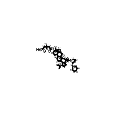 C=C(C)[C@@H]1CC[C@]2(CC(=O)N3CCC[C@@H]3CN3CCCCC3)CC[C@]3(C)[C@H](CC[C@@H]4[C@@]5(C)CC[C@H](OC(=O)CC(C)(C)CC(=O)O)C(C)(C)[C@@H]5CC[C@]43C)[C@@H]12